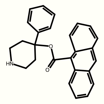 O=C(OC1(c2ccccc2)CCNCC1)c1c2ccccc2cc2ccccc12